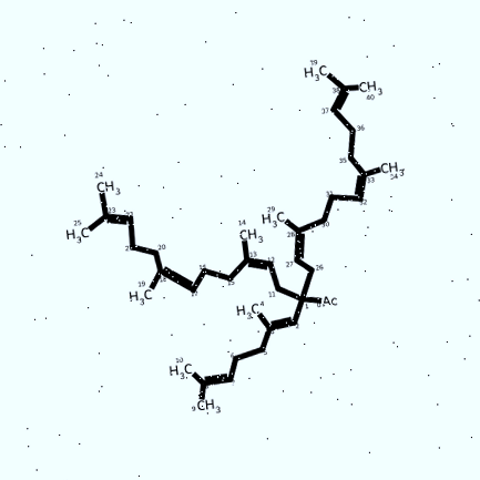 CC(=O)C(/C=C(\C)CCC=C(C)C)(CC=C(C)CCC=C(C)CCC=C(C)C)CC=C(C)CCC=C(C)CCC=C(C)C